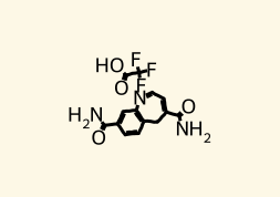 NC(=O)C1=CC=Nc2cc(C(N)=O)ccc2C1.O=C(O)C(F)(F)F